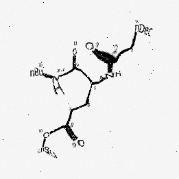 CCCCCCCCCCCC(=O)N[C@@H](CCC(=O)OCCCC)C(=O)NCCCC